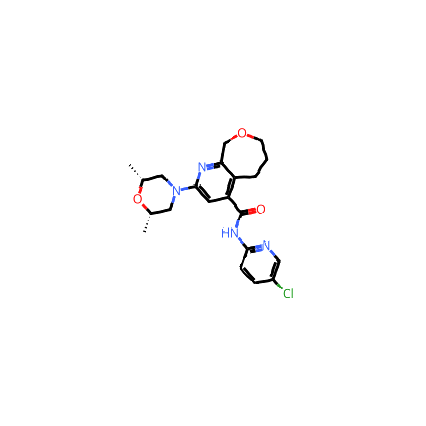 C[C@@H]1CN(c2cc(C(=O)Nc3ccc(Cl)cn3)c3c(n2)COCCC3)C[C@H](C)O1